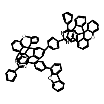 c1ccc(-c2nc(-c3ccc(-c4ccc5c(c4)C4(c6ccccc6Oc6cccc(-c7nc(-c8ccccc8)nc(-c8ccc(-c9cccc%10c9oc9ccccc9%10)cc8)n7)c64)c4ccccc4-5)cc3)nc(-c3cccc4c3C3(c5ccccc5O4)c4ccccc4-c4ccccc43)n2)cc1